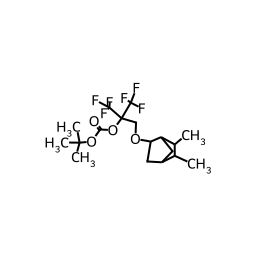 CC1C2CC(OCC(OC(=O)OC(C)(C)C)(C(F)(F)F)C(F)(F)F)C(C2)C1C